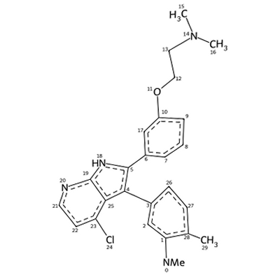 CNc1cc(-c2c(-c3cccc(OCCN(C)C)c3)[nH]c3nccc(Cl)c23)ccc1C